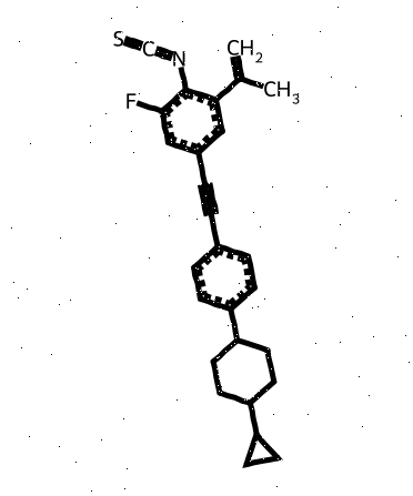 C=C(C)c1cc(C#Cc2ccc(C3CCC(C4CC4)CC3)cc2)cc(F)c1N=C=S